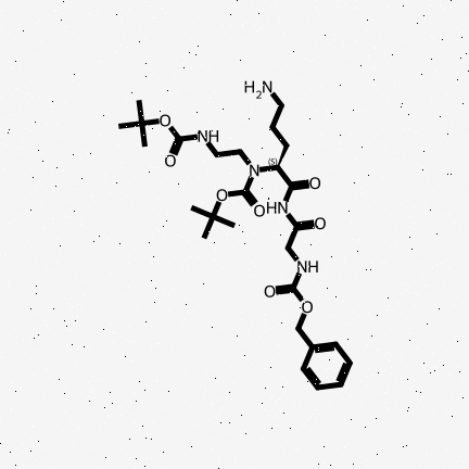 CC(C)(C)OC(=O)NCCN(C(=O)OC(C)(C)C)[C@@H](CCCN)C(=O)NC(=O)CNC(=O)OCc1ccccc1